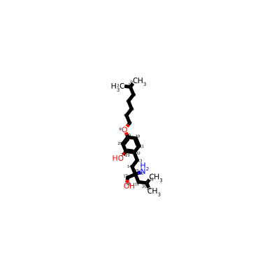 CC(C)CCCCCOc1ccc(CCC(N)(CO)CC(C)C)c(O)c1